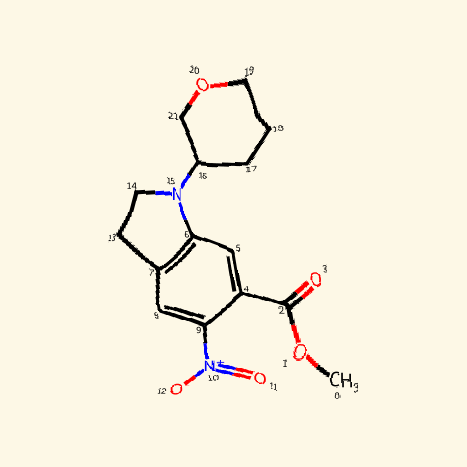 COC(=O)c1cc2c(cc1[N+](=O)[O-])CCN2C1CCCOC1